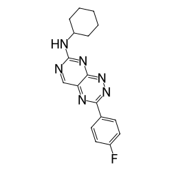 Fc1ccc(-c2nnc3nc(NC4CCCCC4)ncc3n2)cc1